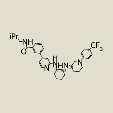 CC(C)CNC(=O)c1cccc(-c2ccnc(N[C@@H]3CCCC[C@H]3N[C@H]3CCCN(c4ccc(C(F)(F)F)cc4)C3)c2)c1